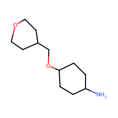 NC1CCC(OCC2CCOCC2)CC1